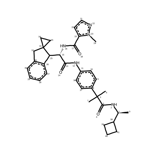 C[C@H](NC(=O)C(C)(C)c1ccc(NC(=O)[C@@H](NC(=O)c2ccnn2C)C2c3ccccc3CC23CC3)cc1)C1CCC1